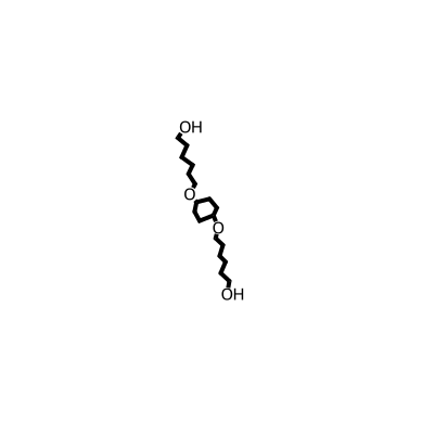 OCCCCCCOC1CCC(OCCCCCCO)CC1